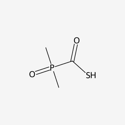 CP(C)(=O)C(=O)S